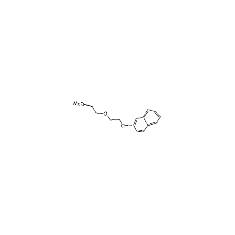 COCCOCCOc1ccc2ccccc2c1